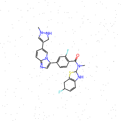 CN1C=C(c2ccc3ncc(-c4ccc(C(=O)N(C)C5NC6=C(CC(F)C=C6)S5)c(F)c4)n3c2)CN1